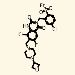 CCS(=O)(=O)c1ccc(Cl)cc1Cn1c(=O)[nH]c2c(Cl)c(CN3CCN(C4COC4)CC3)c(F)cc2c1=O